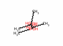 CCCCCCCC=COC[C@](O)(C=CCCCCCCC)[C@@H](O)[C@H](O)[C@](O)(C=CCCCCCCC)C(O)C=CCCCCCCC